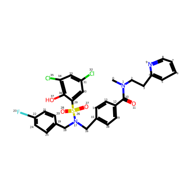 CN(CCc1ccccn1)C(=O)c1ccc(CN(Cc2ccc(F)cc2)S(=O)(=O)c2cc(Cl)cc(Cl)c2O)cc1